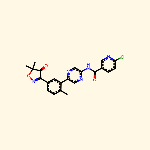 Cc1ccc(C2=NOC(C)(C)C2=O)cc1-c1cnc(NC(=O)c2ccc(Cl)nc2)cn1